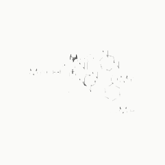 COc1cccc(-c2nnc(NS(=O)(=O)[C@@H](C)[C@H](OC)C3CC(C)(C)C3)n2-c2c(OC)ncnc2OC)c1